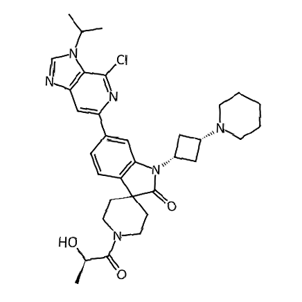 CC(C)n1cnc2cc(-c3ccc4c(c3)N([C@H]3C[C@@H](N5CCCCC5)C3)C(=O)C43CCN(C(=O)[C@@H](C)O)CC3)nc(Cl)c21